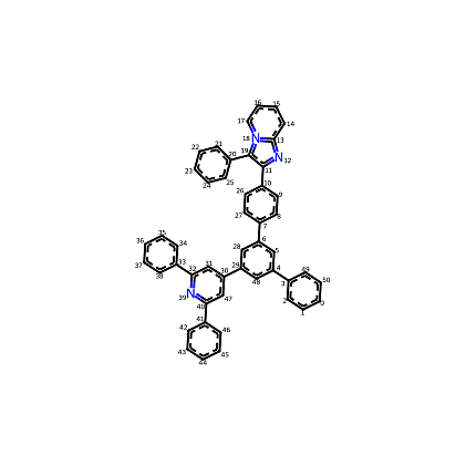 c1ccc(-c2cc(-c3ccc(-c4nc5ccccn5c4-c4ccccc4)cc3)cc(-c3cc(-c4ccccc4)nc(-c4ccccc4)c3)c2)cc1